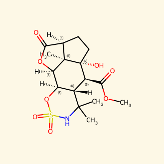 COC(=O)[C@H]1[C@H]2[C@@H](OS(=O)(=O)NC2(C)C)[C@H]2OC(=O)[C@H]3CC[C@]1(O)[C@]32C